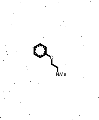 CNCCOc1cc[c]cc1